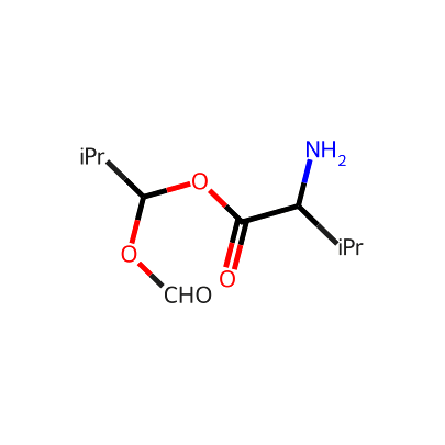 CC(C)C(OC=O)OC(=O)C(N)C(C)C